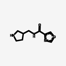 O=C(NCC1CCNC1)c1cocn1